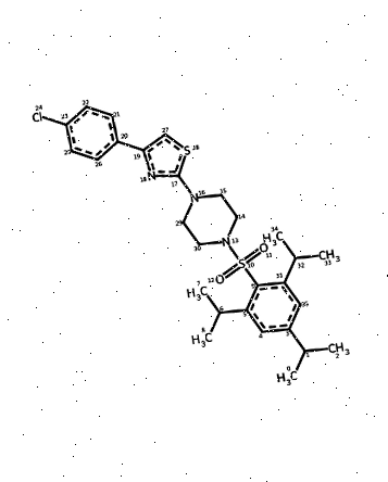 CC(C)c1cc(C(C)C)c(S(=O)(=O)N2CCN(c3nc(-c4ccc(Cl)cc4)cs3)CC2)c(C(C)C)c1